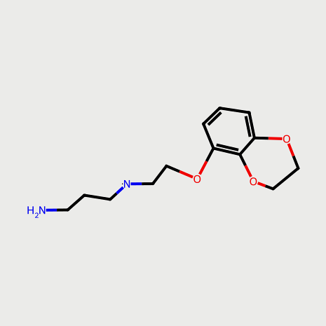 NCCC[N]CCOc1cccc2c1OCCO2